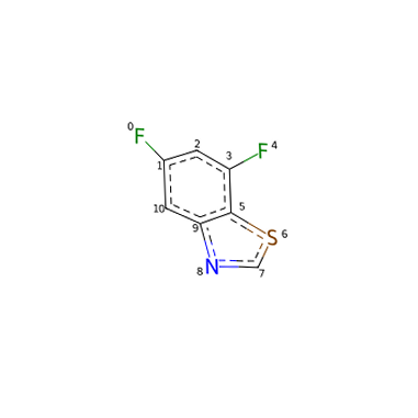 Fc1cc(F)c2scnc2c1